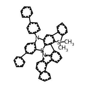 C[Si]1(C)c2ccccc2-c2cc3c4c(c21)-c1cccc2c5c6ccccc6ccc5n(c12)B4c1cc(-c2ccccc2)ccc1N3c1ccc(-c2ccccc2)cc1